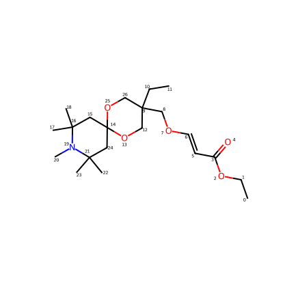 CCOC(=O)C=COCC1(CC)COC2(CC(C)(C)N(C)C(C)(C)C2)OC1